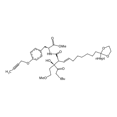 CC#CCOc1ccc(C[C@H](NC(=O)[C@@H](/C=C/CCCCCCC2(CCCCCCC)OCCO2)[C@@](O)(CCOC)C(=O)CC(C)(C)C)C(=O)OC)cc1